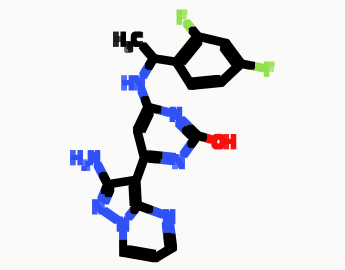 CC(Nc1cc(-c2c(N)nn3cccnc23)nc(O)n1)c1ccc(F)cc1F